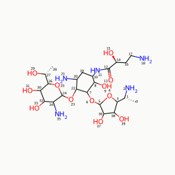 C[C@@H](N)C1OC(OC2C(O)C(NC(=O)[C@@H](O)CCN)CC(N)C2OC2OC([C@@H](C)O)C(O)C(O)C2N)C(O)C1O